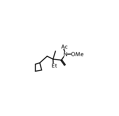 C=C(N(OC)C(C)=O)C(C)(CC)CC1CCC1